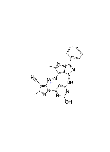 Cc1nn(-c2nc(O)nc(O)n2)c(/N=N/c2c(C)nn3c(-c4ccccc4)n[nH]c23)c1C#N